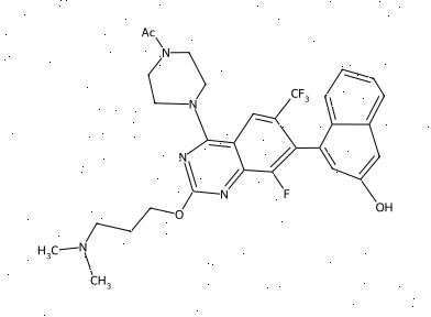 CC(=O)N1CCN(c2nc(OCCCN(C)C)nc3c(F)c(-c4cc(O)cc5ccccc45)c(C(F)(F)F)cc23)CC1